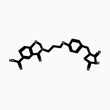 O=C1NC(=O)C(Cc2ccc(OCCCN3COc4ccc(C(=O)O)cc4C3=O)cc2)S1